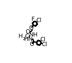 C=C(NCC(=O)c1ccc(Cl)c(Cl)c1)NC(=O)COc1ccc(Cl)c(F)c1